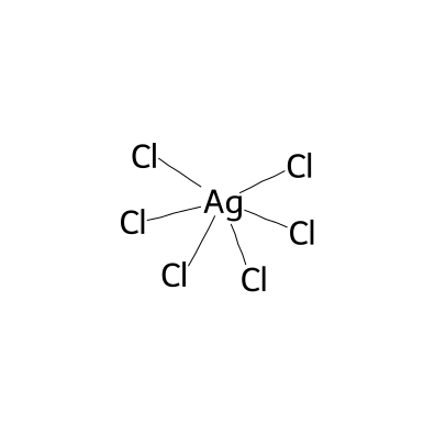 [Cl][Ag]([Cl])([Cl])([Cl])([Cl])[Cl]